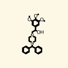 COc1cc(C(O)CN2CCN(C(c3ccccc3)c3ccccc3)CC2)cc(OC)c1OC